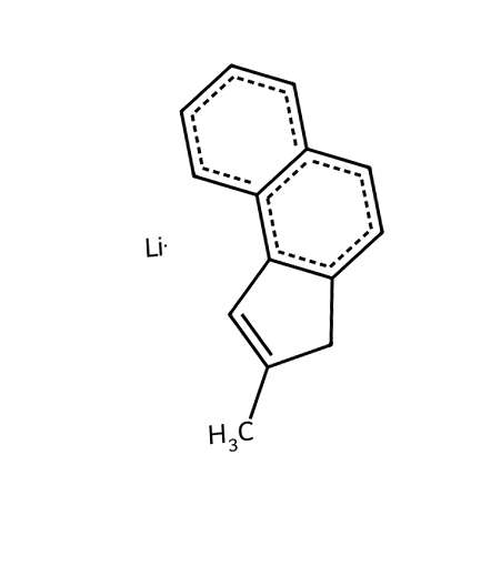 CC1=Cc2c(ccc3ccccc23)C1.[Li]